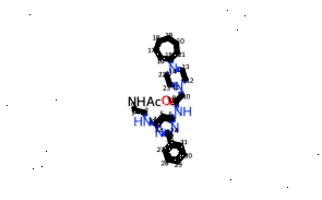 CC(=O)NCCNc1cc(NC(=O)CN2CCN(C3CCCCCC3)CC2)nc(-c2ccccc2)n1